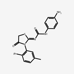 Cc1ccc(C(C)C)c(N2C(=O)CS/C2=N\C(=O)Nc2ccc(N)cc2)c1